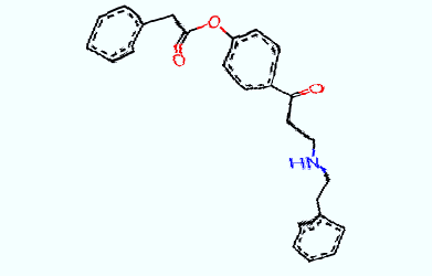 O=C(Cc1ccccc1)Oc1ccc(C(=O)CCNCc2ccccc2)cc1